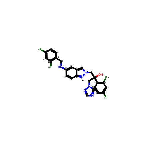 OC(Cn1cncn1)(Cn1cc2cc(NCc3ccc(F)cc3F)ccc2n1)c1ccc(F)cc1F